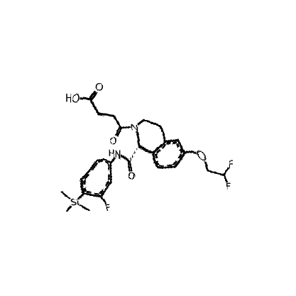 C[Si](C)(C)c1ccc(NC(=O)[C@H]2c3ccc(OCC(F)F)cc3CCN2C(=O)CCC(=O)O)cc1F